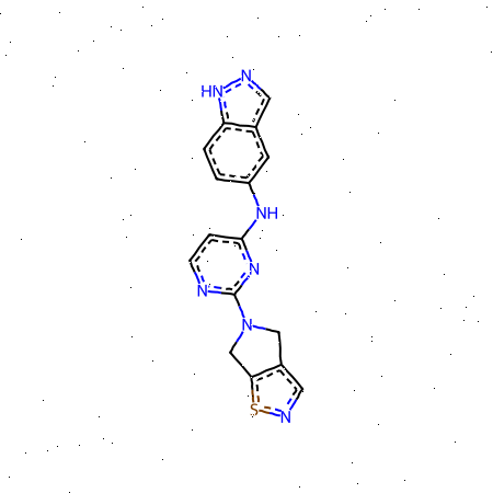 c1cc(Nc2ccc3[nH]ncc3c2)nc(N2Cc3cnsc3C2)n1